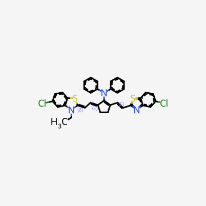 CCN1/C(=C/C=C2\CCC(/C=C/c3nc4cc(Cl)ccc4s3)=C2N(c2ccccc2)c2ccccc2)Sc2ccc(Cl)cc21